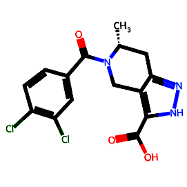 C[C@@H]1Cc2n[nH]c(C(=O)O)c2CN1C(=O)c1ccc(Cl)c(Cl)c1